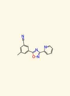 Cc1cc(C#N)cc(-c2nc(-c3ccccn3)no2)c1